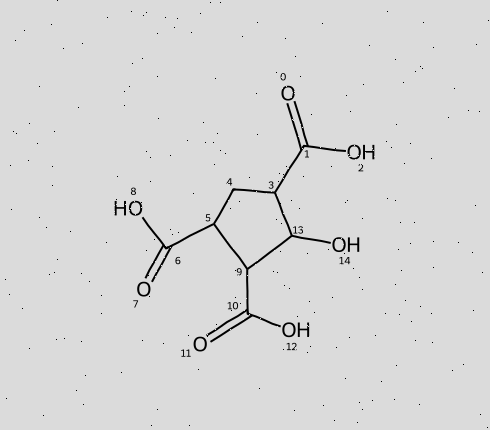 O=C(O)C1CC(C(=O)O)C(C(=O)O)C1O